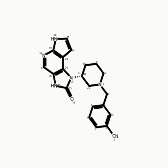 N#Cc1cccc(CN2CCC[C@@H](n3c(=O)[nH]c4cnc5[nH]ccc5c43)C2)c1